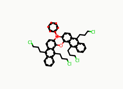 ClCCCc1c2ccccc2c(CCCCl)c2c(Oc3c(Oc4ccccc4)ccc4c(CCCCl)c5ccccc5c(CCCCl)c34)c(Oc3ccccc3)ccc12